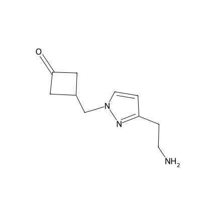 NCCc1ccn(CC2CC(=O)C2)n1